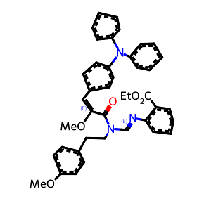 CCOC(=O)c1ccccc1/N=C/N(CCc1ccc(OC)cc1)C(=O)/C(=C\c1ccc(N(c2ccccc2)c2ccccc2)cc1)OC